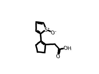 O=C(O)CC1=C(c2ccc[s+]2[O-])CCC1